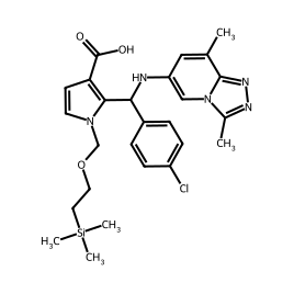 Cc1cc(NC(c2ccc(Cl)cc2)c2c(C(=O)O)ccn2COCC[Si](C)(C)C)cn2c(C)nnc12